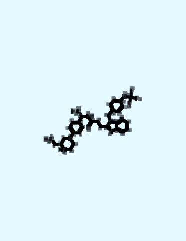 CC[C@H]1CN(c2ccc([C@H](C)NC(=O)CCc3nc4cccnc4n3Cc3ccc(OC(F)(F)F)cc3)cc2)CCN1